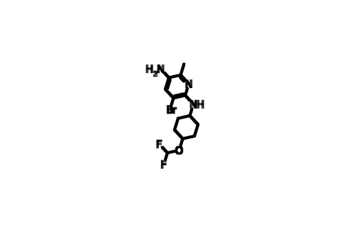 Cc1nc(NC2CCC(OC(F)F)CC2)c(Br)cc1N